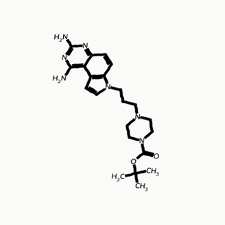 CC(C)(C)OC(=O)N1CCN(CCCn2ccc3c4c(N)nc(N)nc4ccc32)CC1